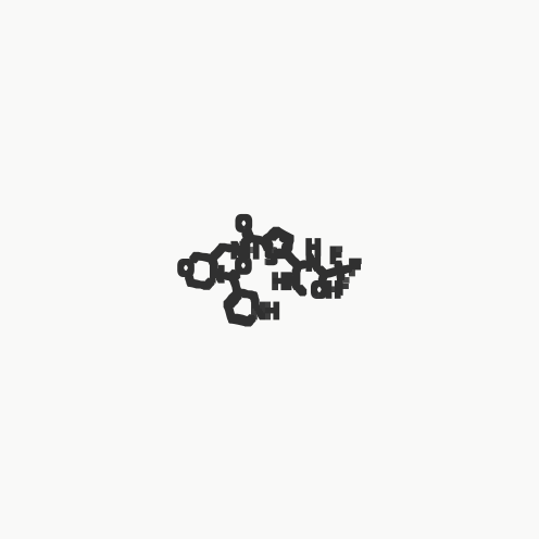 CNC(NC(O)C(F)(F)F)c1ccc(C(=O)NCC2COCCN2C(=O)C2=CC=CNC2)s1